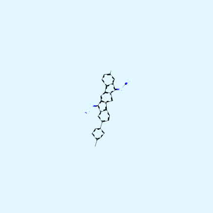 [C-]#[N+]/N=c1\c2cc(-c3ccc(C)cc3)ccc2c2cc3/c(=N/C#N)c4cc(F)ccc4c3cc12